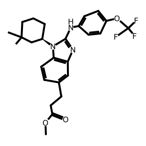 COC(=O)CCc1ccc2c(c1)nc(Nc1ccc(OC(F)(F)F)cc1)n2[C@@H]1CCCC(C)(C)C1